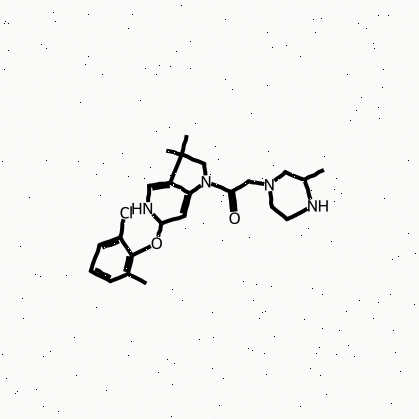 Cc1cccc(Cl)c1OC1C=C2C(=CN1)C(C)(C)CN2C(=O)CN1CCNC(C)C1